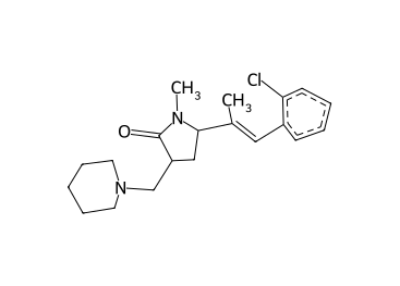 CC(=Cc1ccccc1Cl)C1CC(CN2CCCCC2)C(=O)N1C